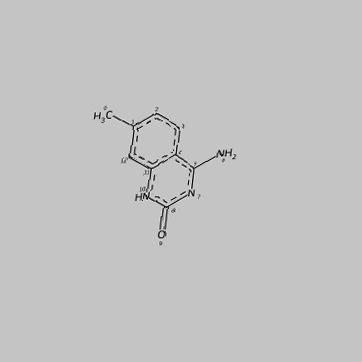 Cc1ccc2c(N)nc(=O)[nH]c2c1